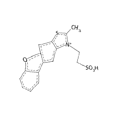 Cc1sc2cc3oc4ccccc4c3cc2[n+]1CCS(=O)(=O)O